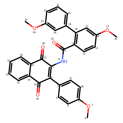 COc1ccc(C2=C(NC(=O)c3ccc(OC)cc3-c3cccc(OC)c3)C(=O)c3ccccc3C2=O)cc1